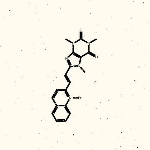 CC[n+]1c(/C=C/c2nc3c(c(=O)n(C)c(=O)n3C)n2C)ccc2ccccc21.[I-]